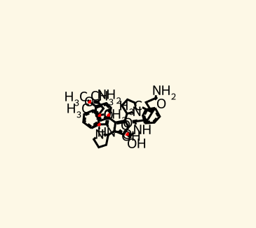 CC(C)(C)c1ccc(C2=C(C3CCCN3[C@@]3(C(=O)NC(=O)O)c4ccc(cc4)C3(C)CC(N)=O)CCC2C2CCCN2[C@@]2(C(=O)NC(=O)O)c3ccc(cc3)C2(C)CC(N)=O)cc1